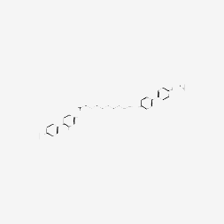 N#Cc1ccc(-c2ccc(OCCCCCCCCCC(=O)Oc3ccc(-c4ccc(F)cc4)c(F)c3)cc2)cc1